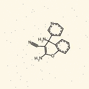 N#CC1=C(N)Oc2ccccc2C1(N)c1cccnc1